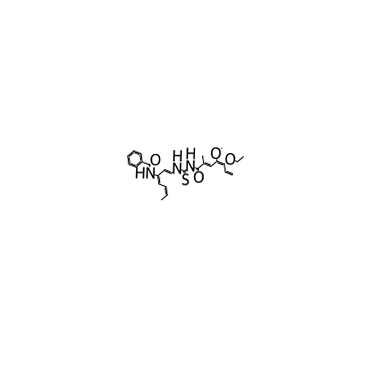 C=C/C(OCC)=C(\C=C(/C)C(=O)NC(=S)N/C=C/C(=C\C=C/C)NC(=O)c1ccccc1)OC